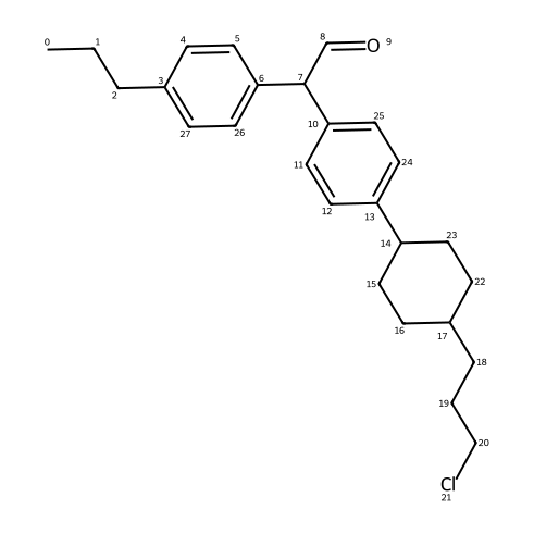 CCCc1ccc(C(C=O)c2ccc(C3CCC(CCCCl)CC3)cc2)cc1